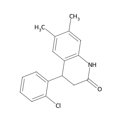 Cc1cc2c(cc1C)C(c1ccccc1Cl)CC(=O)N2